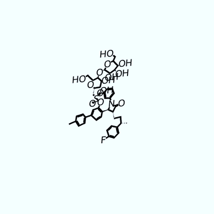 Cc1ccc(-c2ccc([C@@H]3[C@@H](CC[C@H](C)c4ccc(F)cc4)C(=O)N3c3ccccc3)c(OS(=O)(=O)C[C@@H]3OC(CO)[C@@H](O[C@@H]4OC(CO)[C@@H](O)[C@H](O)C4O)[C@H](O)C3O)c2)cc1